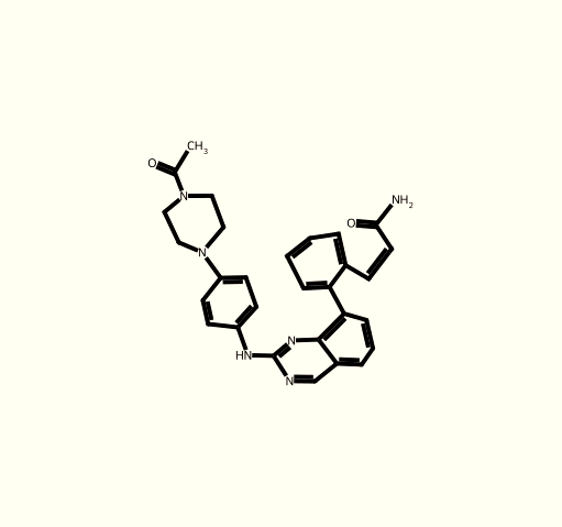 CC(=O)N1CCN(c2ccc(Nc3ncc4cccc(-c5ccccc5C=CC(N)=O)c4n3)cc2)CC1